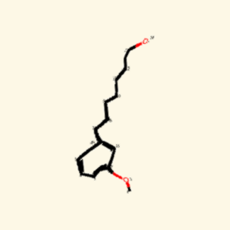 COc1cccc(CCCCCCC[O])c1